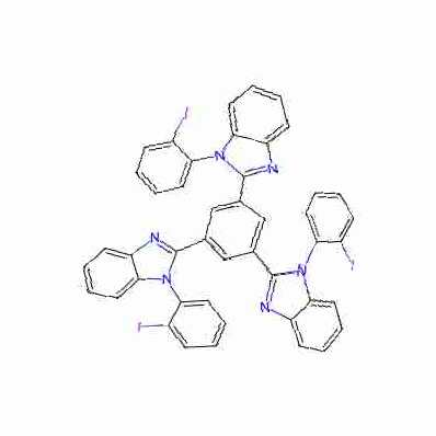 Ic1ccccc1-n1c(-c2cc(-c3nc4ccccc4n3-c3ccccc3I)cc(-c3nc4ccccc4n3-c3ccccc3I)c2)nc2ccccc21